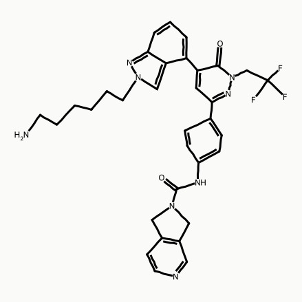 NCCCCCCn1cc2c(-c3cc(-c4ccc(NC(=O)N5Cc6ccncc6C5)cc4)nn(CC(F)(F)F)c3=O)cccc2n1